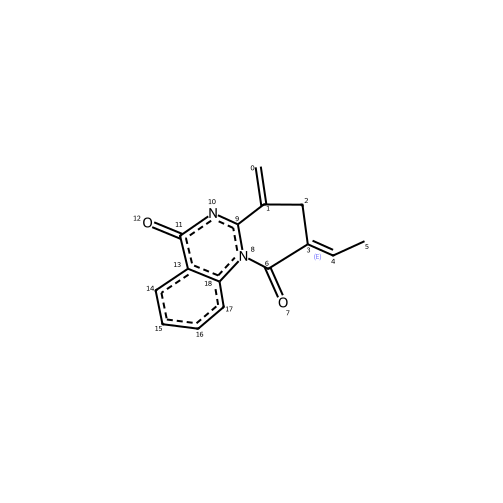 C=C1C/C(=C\C)C(=O)n2c1nc(=O)c1ccccc12